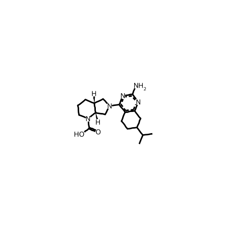 CC(C)C1CCc2c(nc(N)nc2N2C[C@H]3CCCN(C(=O)O)[C@H]3C2)C1